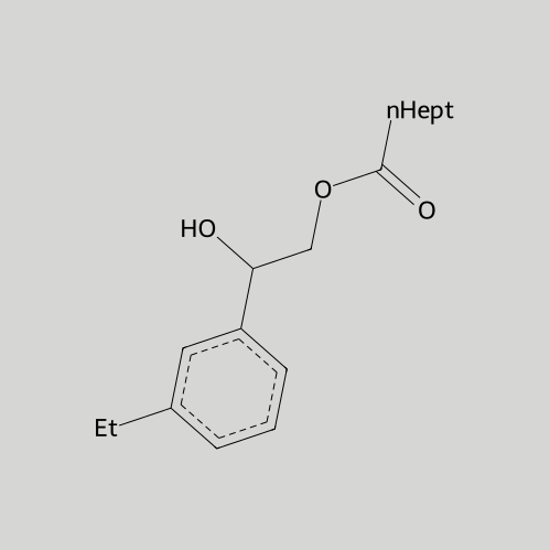 CCCCCCCC(=O)OCC(O)c1cccc(CC)c1